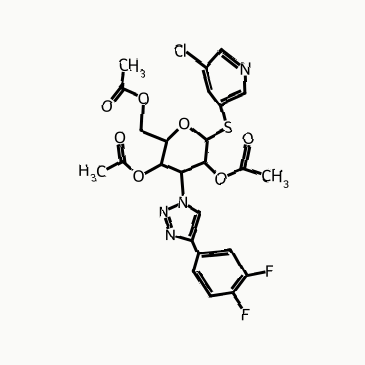 CC(=O)OCC1OC(Sc2cncc(Cl)c2)C(OC(C)=O)C(n2cc(-c3ccc(F)c(F)c3)nn2)C1OC(C)=O